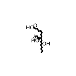 CCCCC[C@H](O)/C=C/C(CC/C=C\CCCC(=O)O)[C@H](O)C[C@@H](C)O